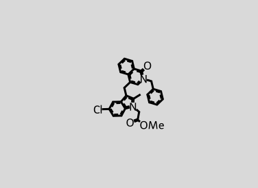 COC(=O)Cn1c(C)c(Cc2cn(Cc3ccccc3)c(=O)c3ccccc23)c2cc(Cl)ccc21